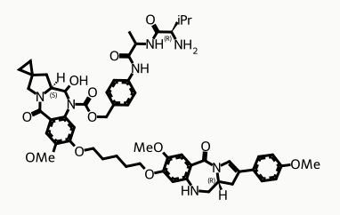 COc1ccc(C2=CN3C(=O)c4cc(OC)c(OCCCCCOc5cc6c(cc5OC)C(=O)N5CC7(CC7)C[C@H]5C(O)N6C(=O)OCc5ccc(NC(=O)C(C)NC(=O)[C@H](N)C(C)C)cc5)cc4NC[C@H]3C2)cc1